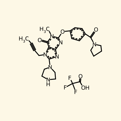 CC#CCn1c(N2CCNCC2)nc2nc(Oc3ccc(C(=O)N4CCCC4)cc3)n(C)c(=O)c21.O=C(O)C(F)(F)F